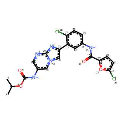 CC(C)OC(=O)Nc1cnc2nc(-c3cc(NC(=O)c4ccc(Cl)o4)ccc3Cl)cn2c1